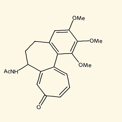 COc1cc2c(c(OC)c1OC)-c1cccc(=O)cc1C(NC(C)=O)CC2